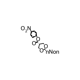 CCCCCCCCC[C@H]1OC[C@H](C(=O)Oc2ccc([N+](=O)[O-])cc2)CO1